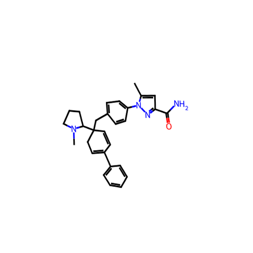 Cc1cc(C(N)=O)nn1-c1ccc(CC2(C3CCCN3C)C=CC(c3ccccc3)=CC2)cc1